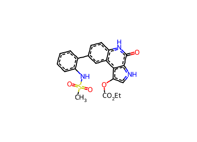 CCOC(=O)Oc1c[nH]c2c(=O)[nH]c3ccc(-c4ccccc4NS(C)(=O)=O)cc3c12